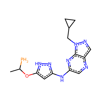 CC(P)Oc1cc(Nc2cnc3cnn(CC4CC4)c3n2)n[nH]1